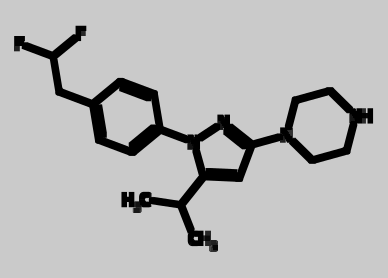 CC(C)c1cc(N2CCNCC2)nn1-c1ccc(CC(F)F)cc1